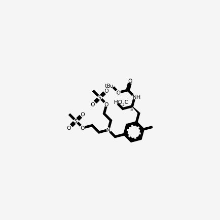 Cc1ccc(CN(CCOS(C)(=O)=O)CCOS(C)(=O)=O)cc1C[C@@H](CC(=O)O)NC(=O)OC(C)(C)C